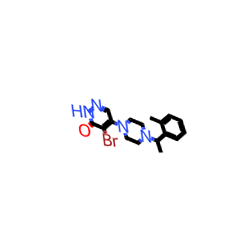 Cc1ccccc1C(C)N1CCN(c2cn[nH]c(=O)c2Br)CC1